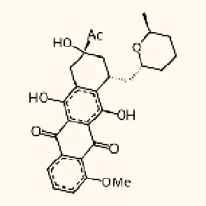 COc1cccc2c1C(=O)c1c(O)c3c(c(O)c1C2=O)C[C@@](O)(C(C)=O)C[C@@H]3C[C@H]1CCC[C@H](C)O1